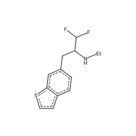 CCNC(Cc1ccc2ccsc2c1)C(F)F